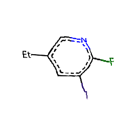 CCc1cnc(F)c(I)c1